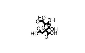 O=C(O)CC(OC(C(=O)O)C(=O)O)(C(=O)O)C(=O)O